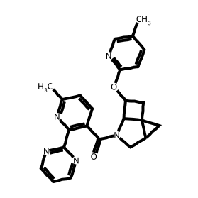 Cc1ccc(OC2CC34CC3CN(C(=O)c3ccc(C)nc3-c3ncccn3)C24)nc1